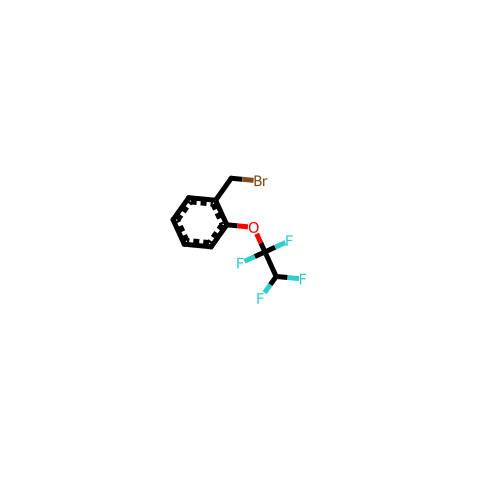 FC(F)C(F)(F)Oc1ccccc1CBr